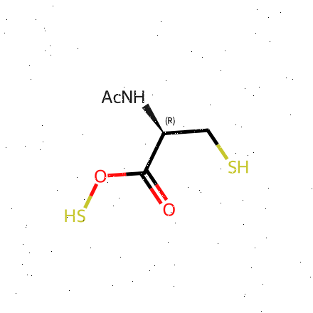 CC(=O)N[C@@H](CS)C(=O)OS